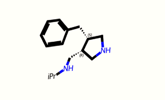 CC(C)NC[C@H]1CNC[C@H]1Cc1ccccc1